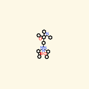 c1ccc(-c2nc3ccccc3c3c2cc(-c2ccc(-c4nc(-c5cccc6c5oc5ccccc56)nc(-c5cccc6c5oc5ccccc56)n4)cc2)c2oc4ccccc4c23)cc1